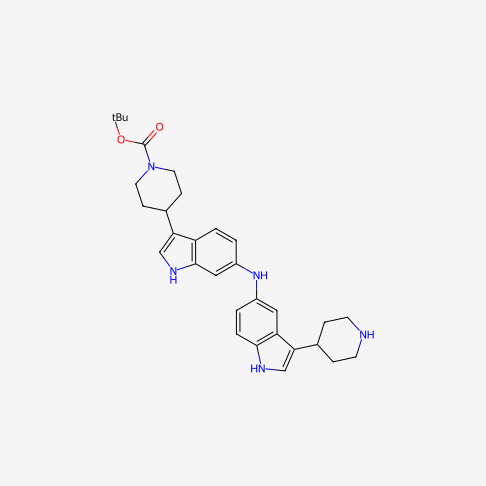 CC(C)(C)OC(=O)N1CCC(c2c[nH]c3cc(Nc4ccc5[nH]cc(C6CCNCC6)c5c4)ccc23)CC1